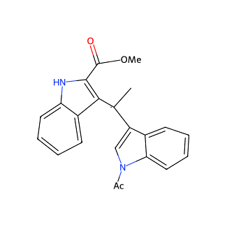 COC(=O)c1[nH]c2ccccc2c1[C](C)c1cn(C(C)=O)c2ccccc12